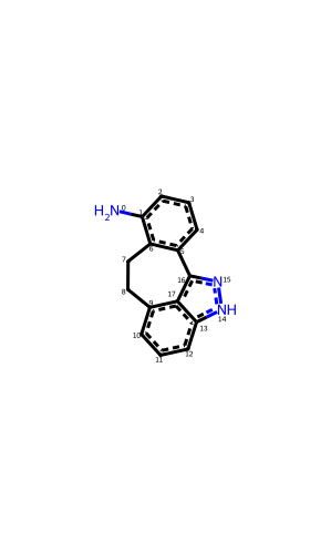 Nc1cccc2c1CCc1cccc3[nH]nc-2c13